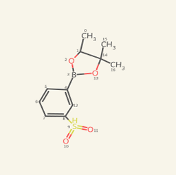 CC1OB(c2cccc([SH](=O)=O)c2)OC1(C)C